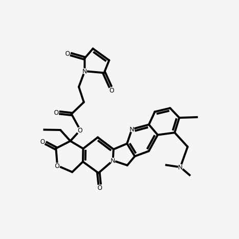 CCC1(OC(=O)CCN2C(=O)C=CC2=O)C(=O)OCc2c1cc1n(c2=O)Cc2cc3c(CN(C)C)c(C)ccc3nc2-1